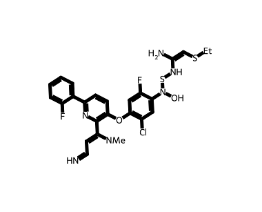 CCS/C=C(/N)NSN(O)c1cc(Cl)c(Oc2ccc(-c3ccccc3F)nc2/C(=C/C=N)NC)cc1F